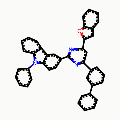 c1ccc(-c2cccc(-c3cc(-c4cc5ccccc5o4)nc(-c4ccc5c(c4)c4ccccc4n5-c4ccccc4)n3)c2)cc1